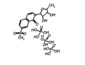 CC1OC(n2ccc3ccc(S(C)(=O)=O)cc3c2=O)C(O)C1O.O=P(O)(O)O.O=P(O)(O)O.O=P(O)(O)O